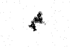 COc1cc(C(=O)NCC(O)(c2cc3c(c(-c4ccc(Cl)c(F)c4)n2)OC[C@]3(C)C(N)=O)C(F)(F)F)cc2cn(C3CC3)nc12